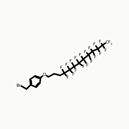 FC(F)(F)C(F)(F)C(F)(F)C(F)(F)C(F)(F)C(F)(F)C(F)(F)C(F)(F)C(F)(F)C(F)(F)CCCOc1ccc(CBr)cc1